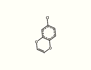 Clc1ccc2c(c1)OC=[C]O2